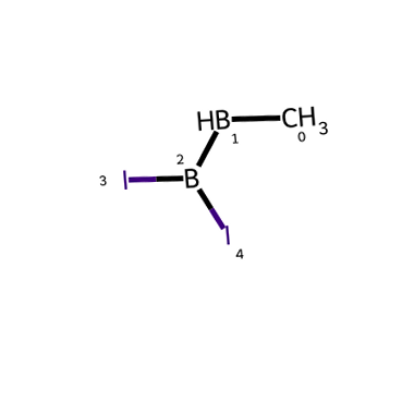 CBB(I)I